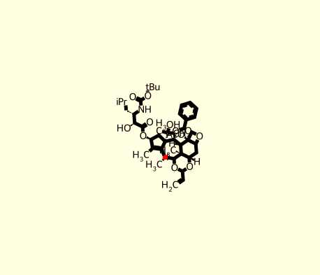 C=CC1O[C@H]2CC3OC[C@@]3(OC(C)=O)[C@H]3[C@H](OC(=O)c4ccccc4)[C@]4(C(C)(C)O)C[C@H](OC(=O)[C@H](O)[C@H](CC(C)C)NC(=O)OC(C)(C)C)C(C)=C4[C@H](C)[C@H](O1)[C@]23C